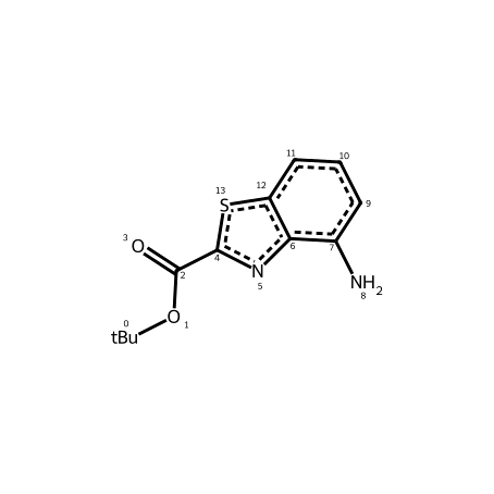 CC(C)(C)OC(=O)c1nc2c(N)cccc2s1